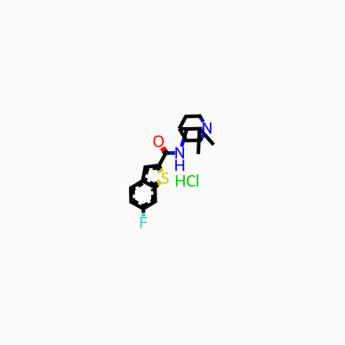 CC1(C)C(NC(=O)c2cc3ccc(F)cc3s2)C2CCN1CC2.Cl